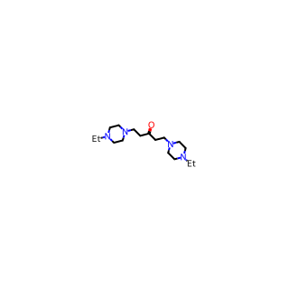 CCN1CCN(CCC(=O)CCN2CCN(CC)CC2)CC1